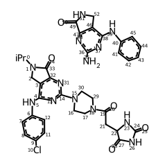 CC(C)N1Cc2c(Nc3ccc(Cl)cc3)nc(N3CCN(C(=O)CC4NC(=O)NC4=O)CC3)nc2C1=O.Nc1nc(Nc2ccccc2)c2c(n1)C(=O)NC2